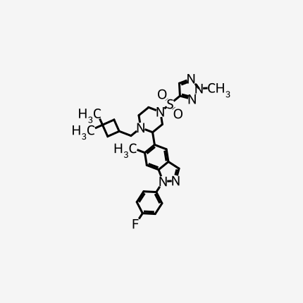 Cc1cc2c(cnn2-c2ccc(F)cc2)cc1C1CN(S(=O)(=O)c2cnn(C)n2)CCN1CC1CC(C)(C)C1